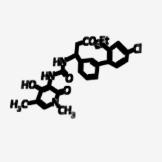 CCOC(=O)CC(NC(=O)Nc1c(O)c(C)cn(C)c1=O)c1cccc(-c2ccc(Cl)cc2Cl)c1